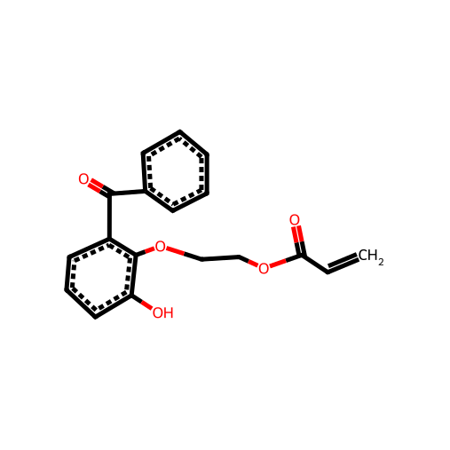 C=CC(=O)OCCOc1c(O)cccc1C(=O)c1ccccc1